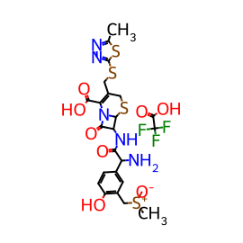 Cc1nnc(SCC2=C(C(=O)O)N3C(=O)C(NC(=O)C(N)c4ccc(O)c(C[S+](C)[O-])c4)C3SC2)s1.O=C(O)C(F)(F)F